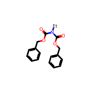 CCN(C(=O)OCc1ccccc1)C(=O)OCc1ccccc1